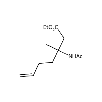 C=CCCC(C)(CC(=O)OCC)NC(C)=O